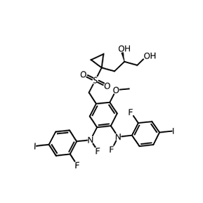 COc1cc(N(F)c2ccc(I)cc2F)c(N(F)c2ccc(I)cc2F)cc1CS(=O)(=O)C1(C[C@@H](O)CO)CC1